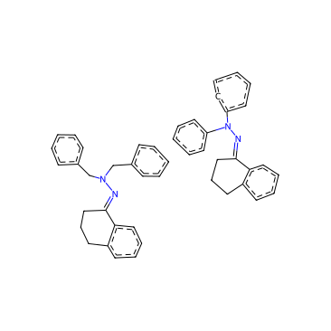 c1ccc(CN(Cc2ccccc2)N=C2CCCc3ccccc32)cc1.c1ccc(N(N=C2CCCc3ccccc32)c2ccccc2)cc1